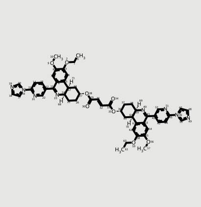 CCOc1cc2c(cc1OC)C(c1ccc(-n3ccnc3)nc1)=N[C@@H]1CC[C@@H](OC(=O)/C=C/C(=O)O[C@@H]3CC[C@H]4N=C(c5ccc(-n6ccnc6)nc5)c5cc(OC)c(OCC)cc5[C@H]4C3)C[C@H]21